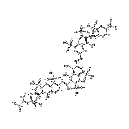 Nc1c(/N=N/c2cc(S(=O)(=O)O)c3cc(S(=O)(=O)O)c(N=Nc4ccc([N+](=O)[O-])cc4S(=O)(=O)O)c(O)c3c2)cc(S(=O)(=O)O)c2cc(S(=O)(=O)O)c(N=Nc3ccc4c(O)c(N=Nc5ccc([N+](=O)[O-])cc5S(=O)(=O)O)c(S(=O)(=O)O)cc4c3S(=O)(=O)O)c(O)c12